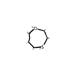 [CH]1CCSCCO1